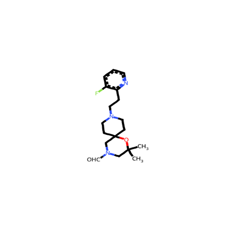 CC1(C)CN(C=O)CC2(CCN(CCc3ncccc3F)CC2)O1